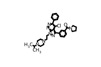 CC(C)N1CCN(CCn2nc(-c3cccc(C(=O)N4CCCC4)c3)c3c(Cl)c(-c4ccccc4)nnc32)CC1